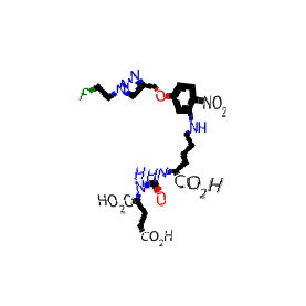 O=C(O)CCC(NC(=O)NC(CCCCNc1cc(OCc2cn(CCF)nn2)ccc1[N+](=O)[O-])C(=O)O)C(=O)O